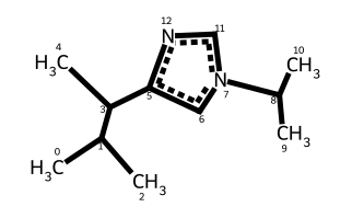 CC(C)C(C)c1cn(C(C)C)cn1